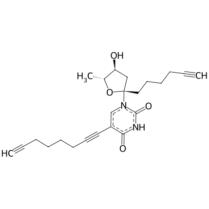 C#CCCCCC#Cc1cn([C@@]2(CCCCC#C)C[C@H](O)[C@@H](C)O2)c(=O)[nH]c1=O